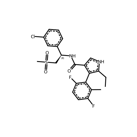 CCc1[nH]cc(C(=O)N[C@@H](CS(C)(=O)=O)c2cccc(Cl)c2)c1-c1c(F)ccc(F)c1C